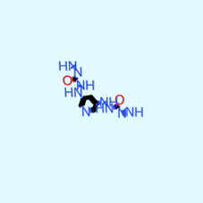 N=NC(=O)NNc1cncc(NNC(=O)N=N)c1